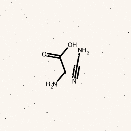 N#CN.NCC(=O)O